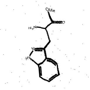 COC(=O)C(N)Cc1n[nH]c2ccccc12